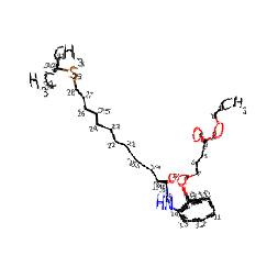 CCOC(=O)CCCOc1ccccc1NC(=O)CCCCCCCCCCCSC(C)C